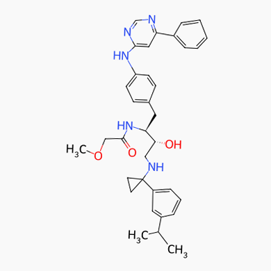 COCC(=O)N[C@@H](Cc1ccc(Nc2cc(-c3ccccc3)ncn2)cc1)[C@H](O)CNC1(c2cccc(C(C)C)c2)CC1